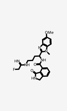 COc1ccc2c(c1)nc(C(CCCNC(=N)CF)NC(=O)c1cccc3c1C(=O)NC3)n2C